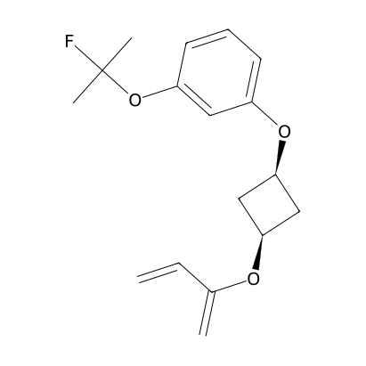 C=CC(=C)O[C@H]1C[C@@H](Oc2cccc(OC(C)(C)F)c2)C1